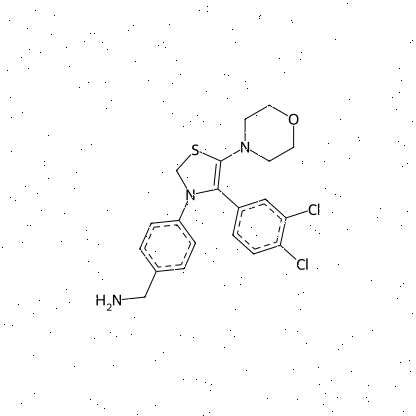 NCc1ccc(N2CSC(N3CCOCC3)=C2c2ccc(Cl)c(Cl)c2)cc1